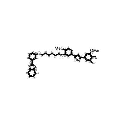 COc1ccc(-c2cc(-c3cc(C)c(C)c(OC)c3)no2)cc1OCCCCCCOc1cccc(-c2nc3ccccc3s2)c1